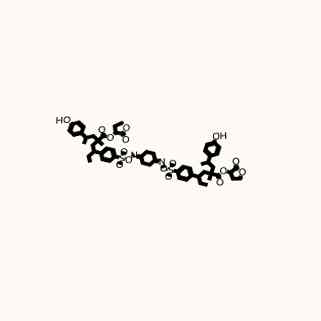 CCC(CC(C)(CC(C)c1ccc(O)cc1)C(=O)OC1CCOC1=O)c1ccc(S(=O)(=O)ON=C2CCC(=NOS(=O)(=O)c3ccc(C(CC)CC(C)(CC(C)c4ccc(O)cc4)C(=O)OC4CCOC4=O)cc3)CC2)cc1